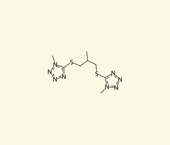 CC(CSc1nnnn1C)CSc1nnnn1C